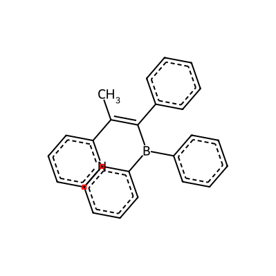 C/C(=C(/B(c1ccccc1)c1ccccc1)c1ccccc1)c1ccccn1